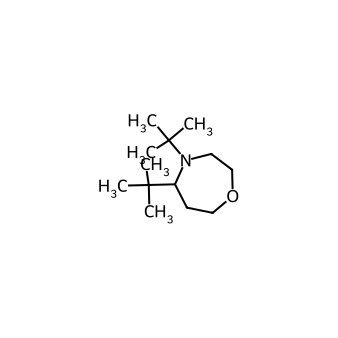 CC(C)(C)C1CCOCCN1C(C)(C)C